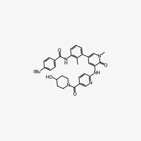 Cc1c(NC(=O)c2ccc(C(C)(C)C)cc2)cccc1-c1cc(Nc2ccc(C(=O)N3CCC(O)CC3)cn2)c(=O)n(C)c1